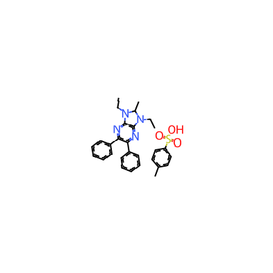 CCN1c2nc(-c3ccccc3)c(-c3ccccc3)nc2N(CC)C1C.Cc1ccc(S(=O)(=O)O)cc1